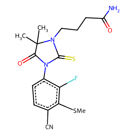 CSc1c(C#N)ccc(N2C(=O)C(C)(C)N(CCCC(N)=O)C2=S)c1F